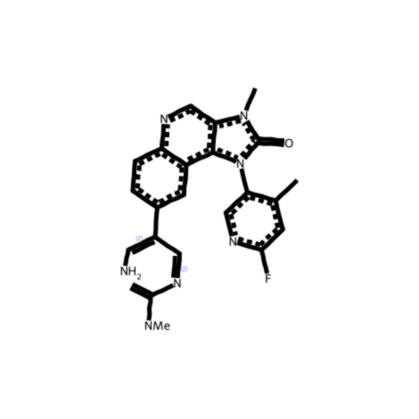 C=C(/N=C\C(=C/N)c1ccc2ncc3c(c2c1)n(-c1cnc(F)cc1C)c(=O)n3C)NC